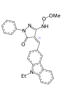 CCn1c2ccccc2c2cc(/C=C3\C(=O)N(c4ccccc4)N=C3NOOC)ccc21